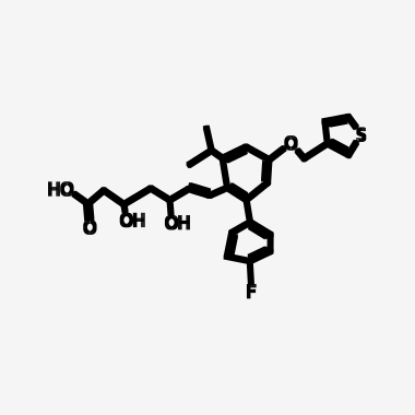 CC(C)c1cc(OCc2ccsc2)cc(-c2ccc(F)cc2)c1C=CC(O)CC(O)CC(=O)O